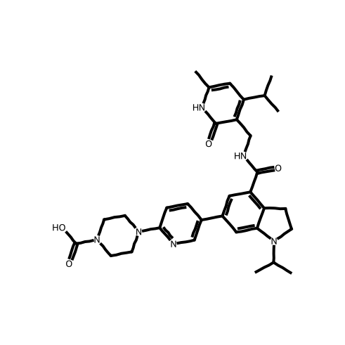 Cc1cc(C(C)C)c(CNC(=O)c2cc(-c3ccc(N4CCN(C(=O)O)CC4)nc3)cc3c2CCN3C(C)C)c(=O)[nH]1